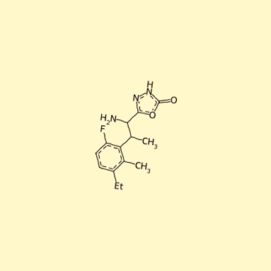 CCc1ccc(F)c(C(C)C(N)c2n[nH]c(=O)o2)c1C